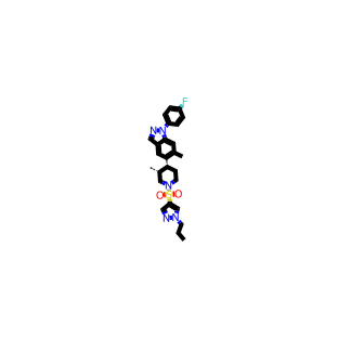 CCCn1cc(S(=O)(=O)N2CC[C@@H](c3cc4cnn(-c5ccc(F)cc5)c4cc3C)[C@@H](C)C2)cn1